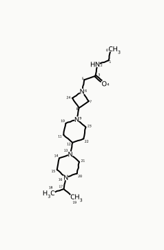 CCNC(=O)CN1CC(N2CCC(N3CCN(C(C)C)CC3)CC2)C1